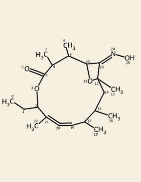 CCC1OC(=O)C(C)C(C)C2OC(C)(CC(C)C(C)C=C=C1C)C2=NO